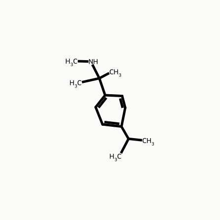 CNC(C)(C)c1ccc(C(C)C)cc1